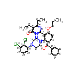 CCCOc1ccc(C(=O)c2ccccc2)c(N2CCN(c3cccc(Cl)c3Cl)CC2)c1-c1nc(CC)c(CC)c(=O)[nH]1